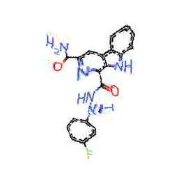 NC(=O)c1cc2c([nH]c3ccccc32)c(C(=O)NNc2cccc(F)c2)n1